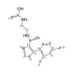 O=C(O)NCCNC(=O)c1ncsc1-c1ccc(F)cc1F